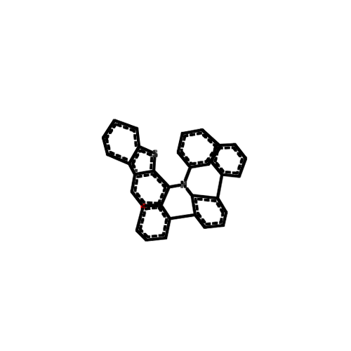 c1ccc(-c2cccc(-c3ccccc3)c2N(c2ccccc2)c2cccc3c2sc2ccccc23)cc1